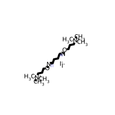 C[N+](C)(C)CCCO/N=C/CC/C=N/OCCC[N+](C)(C)C.[I-].[I-]